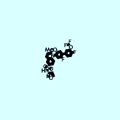 COc1cc(-c2ccc(F)c(OC(F)F)c2)c(F)cc1-n1c(=O)ccc2cc(S(=O)(=O)Nc3ccon3)ccc21